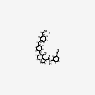 N#Cc1cccc(NC(=O)c2cnn3c2C(=O)N(c2ccc(Cc4cccc(CN)c4)cc2)CC3)c1